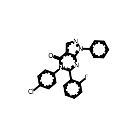 O=c1c2cnn(-c3ccccc3)c2nc(-c2ccccc2F)n1-c1ccc(Cl)cc1